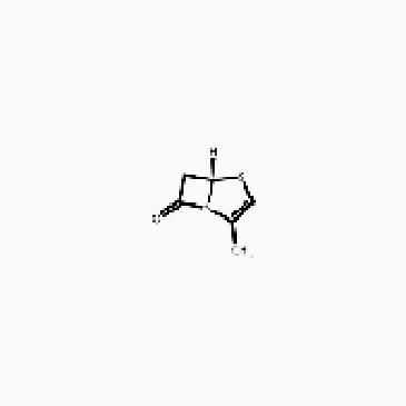 CC1=CS[C@H]2CC(=O)N12